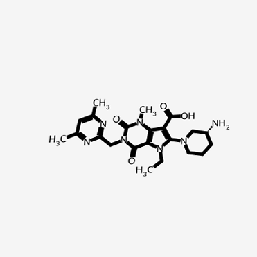 CCn1c(N2CCC[C@@H](N)C2)c(C(=O)O)c2c1c(=O)n(Cc1nc(C)cc(C)n1)c(=O)n2C